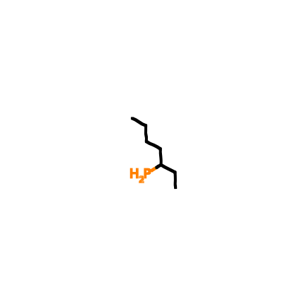 CCCCC(P)CC